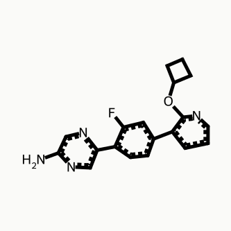 Nc1cnc(-c2ccc(-c3cccnc3OC3CCC3)cc2F)cn1